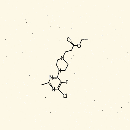 CCOC(=O)CCN1CCN(c2nc(C)nc(Cl)c2F)CC1